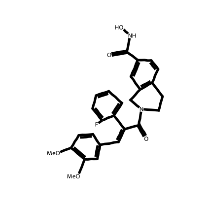 COc1ccc(/C=C(/C(=O)N2CCc3ccc(C(=O)NO)cc3C2)c2ccccc2F)cc1OC